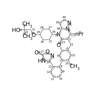 CCCc1c(Cc2ccc(-c3ccccc3-c3noc(=O)[nH]3)c(C)c2)c(=O)n(C2CCC(OCC(C)(C)O)CC2)c2ccnn12